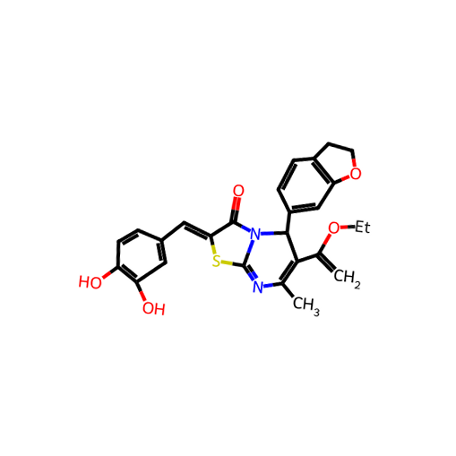 C=C(OCC)C1=C(C)N=c2s/c(=C\c3ccc(O)c(O)c3)c(=O)n2C1c1ccc2c(c1)OCC2